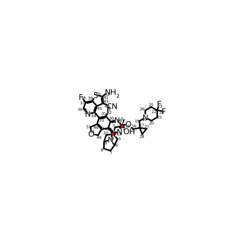 C[C@@H](O)CN1CC2CCC(C1)N2c1nc(OCC2(CN3CCC(F)(F)CC3)CC2)nc2c(F)c(-c3ncc(F)c4sc(N)c(C#N)c34)c3c(c12)COC3